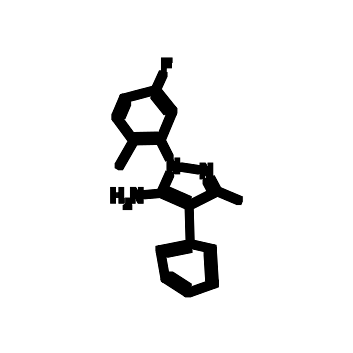 Cc1ccc(F)cc1-n1nc(C)c(-c2ccccc2)c1N